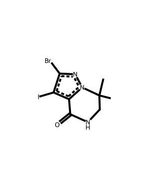 CC1(C)CNC(=O)c2c(I)c(Br)nn21